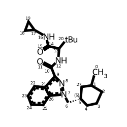 CC1CCC[C@H](Cn2nc(C(=O)NC(C(=O)NC3CC3)C(C)(C)C)c3ccccc32)C1